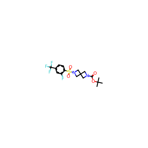 CC(C)(C)OC(=O)N1CC2(C1)CN(S(=O)(=O)c1ccc(C(F)(F)F)cc1F)C2